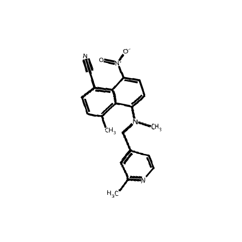 Cc1cc(CN(C)c2ccc([N+](=O)[O-])c3c(C#N)ccc(C)c23)ccn1